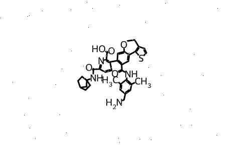 Cc1cc(CN)cc(C)c1NC(=O)c1cc2c(cc1-c1ccc(C(=O)NC34CCC(CC3)C4)nc1C(=O)O)OCCc1ccsc1-2